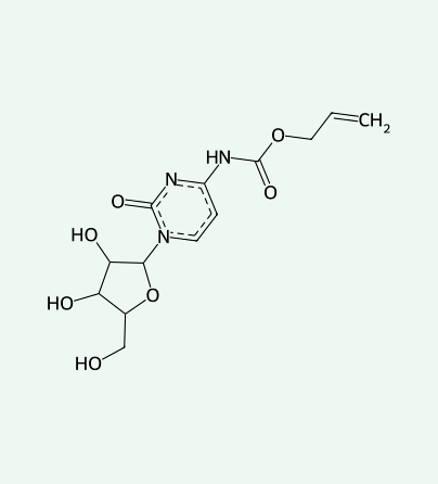 C=CCOC(=O)Nc1ccn(C2OC(CO)C(O)C2O)c(=O)n1